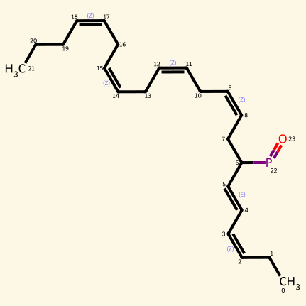 CC/C=C\C=C\C(C/C=C\C/C=C\C/C=C\C/C=C\CCC)P=O